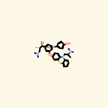 CC(=O)Nc1ccc(O)cc1.CC(CN1c2ccccc2Sc2ccccc21)N(C)C.CC[C@@H](c1cccc(O)c1)[C@@H](C)CN(C)C